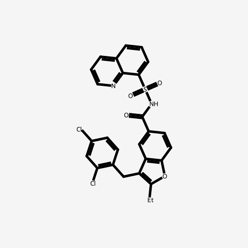 CCc1oc2ccc(C(=O)NS(=O)(=O)c3cccc4cccnc34)cc2c1Cc1ccc(Cl)cc1Cl